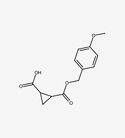 COc1ccc(COC(=O)C2CC2C(=O)O)cc1